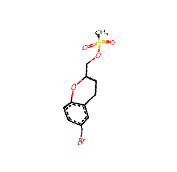 CS(=O)(=O)OCC1CCc2cc(Br)ccc2O1